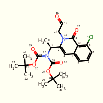 C[C@@H](c1cc2cccc(Cl)c2c(=O)n1CC=O)N(C(=O)OC(C)(C)C)C(=O)OC(C)(C)C